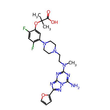 CN(CCN1CCN(c2cc(OC(C)(C)C(=O)O)c(F)cc2F)CC1)c1nc(N)n2nc(-c3ccco3)nc2n1